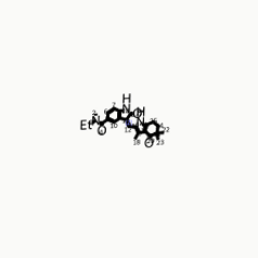 CCN(C)C(=O)c1ccc2c(c1)/C(=C/c1[nH]c3c(c1C)C(=O)C(C)(C)CC3)C(=O)N2